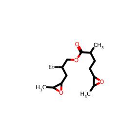 CCC(COC(=O)C(C)CCC1OC1C)CC1OC1C